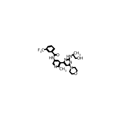 Cc1ncc(NC(=O)c2cccc(C(F)(F)F)c2)cc1-c1cc(N2CCOCC2)nc(NC(C)CO)n1